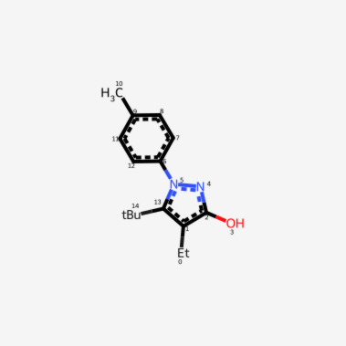 CCc1c(O)nn(-c2ccc(C)cc2)c1C(C)(C)C